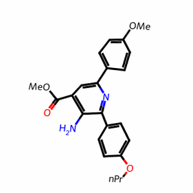 CCCOc1ccc(-c2nc(-c3ccc(OC)cc3)cc(C(=O)OC)c2N)cc1